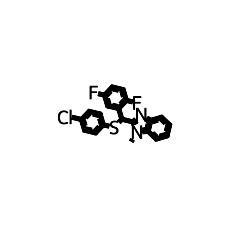 Cn1c(C(Sc2ccc(Cl)cc2)c2cc(F)ccc2F)nc2ccccc21